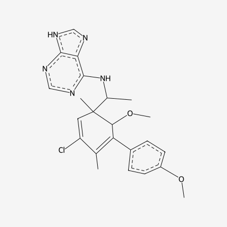 COc1ccc(C2=C(C)C(Cl)=CC(C)(C(C)Nc3ncnc4[nH]cnc34)C2OC)cc1